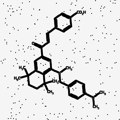 CN(C)c1ccc(CN(C)c2cc(C(=O)C=Cc3ccc(C(=O)O)cc3)cc3c2C(C)(C)CCC3(C)C)cc1